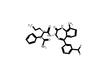 Cc1cccc2c1NC(=O)[C@@H](NC(=O)[C@H](CCC(F)(F)F)[C@@H](C(N)=O)c1ccccc1)N=C2c1cccc(C(F)F)c1